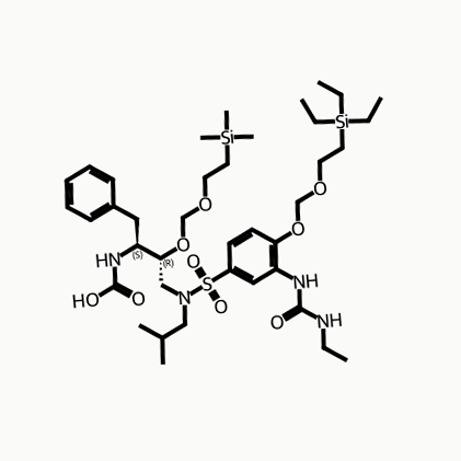 CCNC(=O)Nc1cc(S(=O)(=O)N(CC(C)C)C[C@@H](OCOCC[Si](C)(C)C)[C@H](Cc2ccccc2)NC(=O)O)ccc1OCOCC[Si](CC)(CC)CC